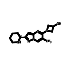 Cc1cn2nc([C@@H]3CCCCN3)cc2nc1N1CC(O)C1